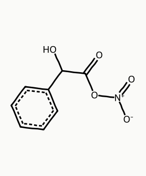 O=C(O[N+](=O)[O-])C(O)c1ccccc1